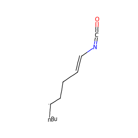 CCCC[CH]CCC=CN=C=O